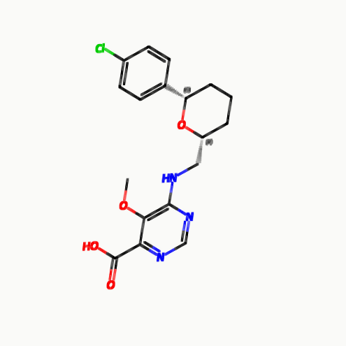 COc1c(NC[C@H]2CCC[C@@H](c3ccc(Cl)cc3)O2)ncnc1C(=O)O